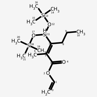 C=COC(=O)/C(C)=C(\CCC)[SiH](O[Si](C)(C)C)O[Si](C)(C)C